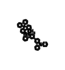 CCC(c1ccccc1-c1cc(-c2ccc3c(c2)c2ccccc2n3-c2ccccc2)ccc1C)c1cccc2c1-c1ccccc1C2(c1ccccc1)c1ccccc1